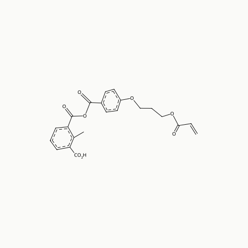 C=CC(=O)OCCCOc1ccc(C(=O)OC(=O)c2cccc(C(=O)O)c2C)cc1